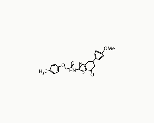 COc1ccc(C2CC(=O)c3sc(NC(=O)COc4ccc(C)cc4)nc3C2)cc1